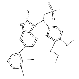 CCOc1nc([C@@H](CS(C)(=O)=O)n2c(=O)[nH]c3cc(-c4cccc(F)c4C)ccc32)ccc1OC